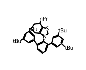 CCCC1CCCC2=C1SCN2c1c(-c2cc(C(C)(C)C)cc(C(C)(C)C)c2)cccc1-c1cc(C(C)(C)C)cc(C(C)(C)C)c1